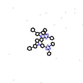 c1ccc(-c2ccc3c(c2)c2ccccc2n3-c2ccc(-c3nc(-c4ccccc4)nc(-c4ccccc4)n3)cc2-c2ccc(-n3c4ccccc4c4cc(-c5ccccc5)ccc43)c(-c3nc(-c4ccccc4)nc(-c4ccccc4)n3)c2)cc1